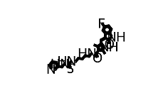 Cc1[nH]c(C=C2C(=O)Nc3ccc(F)cc32)c(C)c1C(=O)NCCCCCNC(=S)NCc1cccnc1